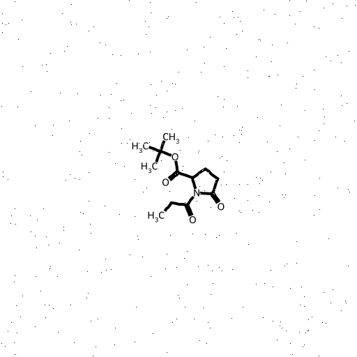 CCC(=O)N1C(=O)CCC1C(=O)OC(C)(C)C